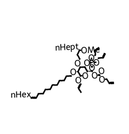 C=CCOC(=O)OC[C@H]1OC(O/C=C/C)[C@H](OCCCCCCCCCC/C=C\CCCCCC)[C@@H](OCC[C@@H](CCCCCCC)OC)[C@@H]1OP(=O)(OCC=C)OCC=C